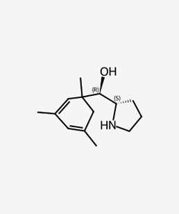 CC1=CC(C)([C@@H](O)[C@@H]2CCCN2)CC(C)=C1